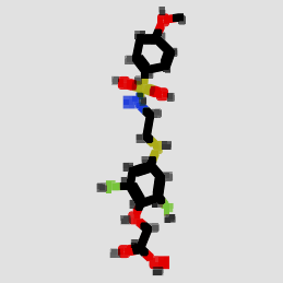 COc1ccc(S(=O)(=O)NCCSc2cc(F)c(OCC(=O)O)c(F)c2)cc1